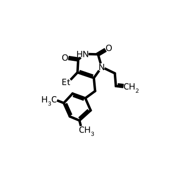 C=CCn1c(Cc2cc(C)cc(C)c2)c(CC)c(=O)[nH]c1=O